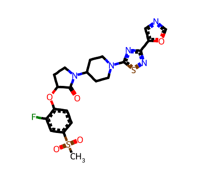 CS(=O)(=O)c1ccc(OC2CCN(C3CCN(c4nc(-c5cnco5)ns4)CC3)C2=O)c(F)c1